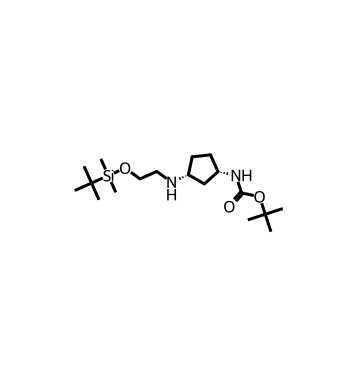 CC(C)(C)OC(=O)N[C@H]1CC[C@@H](NCCO[Si](C)(C)C(C)(C)C)C1